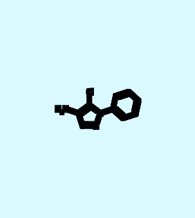 Nc1cnn(-c2ccccc2)c1Cl